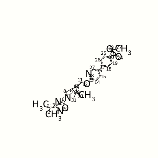 CC(C)c1noc(N2CC3[C@@H](COc4ccc(-c5ccc(S(C)(=O)=O)cc5)cn4)[C@]3(C)C2)n1